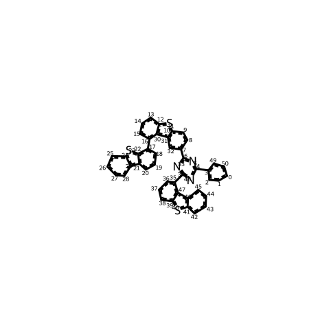 c1ccc(-c2nc(-c3ccc4sc5cccc(-c6cccc7c6sc6ccccc67)c5c4c3)nc(-c3cccc4sc5ccccc5c34)n2)cc1